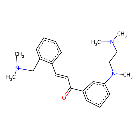 CN(C)CCN(C)c1cccc(C(=O)C=Cc2ccccc2CN(C)C)c1